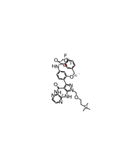 C[C@H](Oc1cc(NS(=O)(=O)CC(F)(F)F)ccc1-c1nn(COCC[Si](C)(C)C)c(Nc2cnccn2)c1C(N)=O)c1ccc(F)cc1